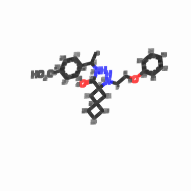 CC(NC(=O)C1(NCCOc2ccccc2)CC2(CCC2)C1)c1ccc(C(=O)O)cc1